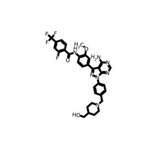 COc1cc(-c2nn(-c3ccc(CN4CCC(CO)CC4)cc3)c3ncnc(N)c23)ccc1NC(=O)c1ccc(C(F)(F)F)cc1F